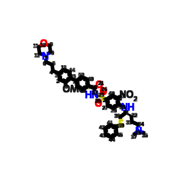 COc1cc(CCCN2CCOCC2)ccc1-c1ccc(C(=O)NS(=O)(=O)c2ccc(N[C@H](CCCN(C)C)CSc3ccccc3)c([N+](=O)[O-])c2)cc1